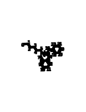 CCCCCCN1Cc2ccccc2C[C@@H]1Cc1ccccc1